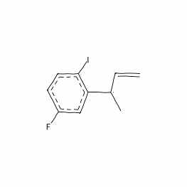 C=C[C](C)c1cc(F)ccc1I